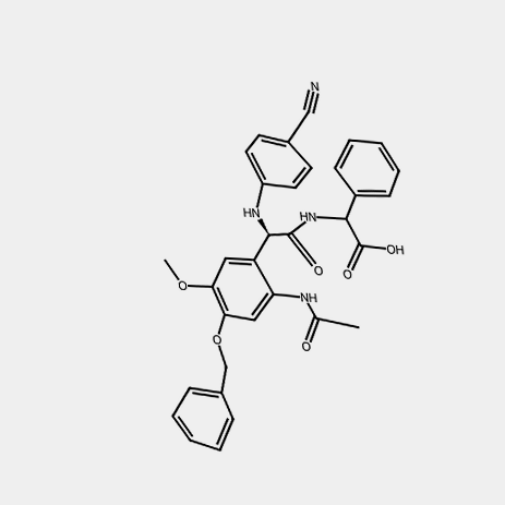 COc1cc([C@@H](Nc2ccc(C#N)cc2)C(=O)NC(C(=O)O)c2ccccc2)c(NC(C)=O)cc1OCc1ccccc1